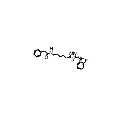 O=C(Cc1ccccc1)NCCCCCc1nnc(Nc2ccccc2F)s1